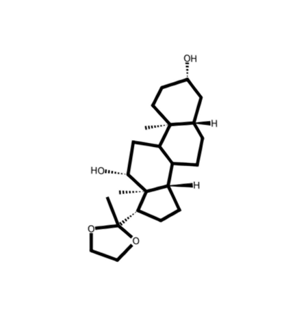 CC1([C@H]2CC[C@H]3C4CC[C@H]5C[C@@H](O)CC[C@]5(C)C4C[C@@H](O)[C@]23C)OCCO1